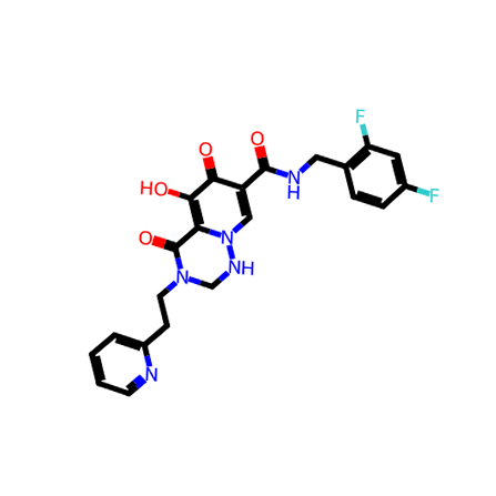 O=C(NCc1ccc(F)cc1F)c1cn2c(c(O)c1=O)C(=O)N(CCc1ccccn1)CN2